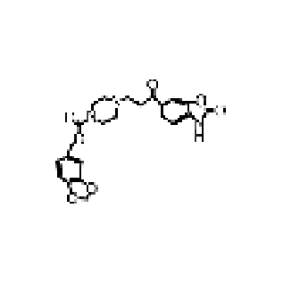 O=C(CCN1CCN(C(=O)OCc2ccc3c(c2)OCO3)CC1)C1C=c2oc(=O)[nH]c2=CC1